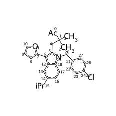 CC(=O)C(C)(C)Cc1c(-c2ccco2)c2cc(C(C)C)ccc2n1Cc1ccc(Cl)cc1